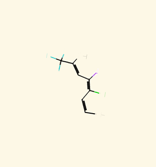 C\C=C/C(Cl)=C(I)\C=C(/C)C(F)(F)F